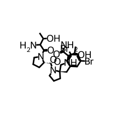 CC(O)C(N)C(=O)N1CCC[C@H]1C(=O)N1CCC[C@@]1(Cc1cc(Br)cc(Br)c1)C(=O)NC(C(N)=O)C(C)O